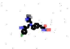 Cn1cc(CN(CCc2c[nH]c3cc(F)ccc23)C2CCc3cc(/C=C/C(=O)NO)ccc32)cn1